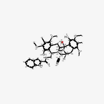 COc1c(C)c(OC)c2c(c1O)[C@H]1[C@@H]3Cc4c(OC)c(C)c(OC)c(O)c4[C@H](CNC(=O)c4cc5ccccc5[nH]4)N3[C@@H](C#N)[C@@H](C2)N1C